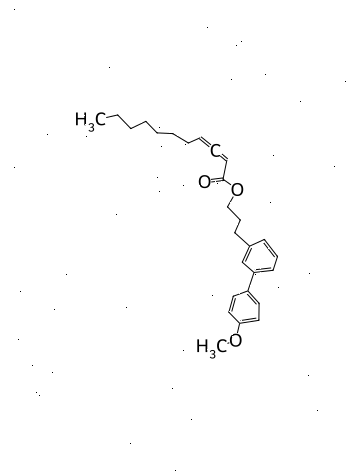 CCCCCCCC=C=CC(=O)OCCCc1cccc(-c2ccc(OC)cc2)c1